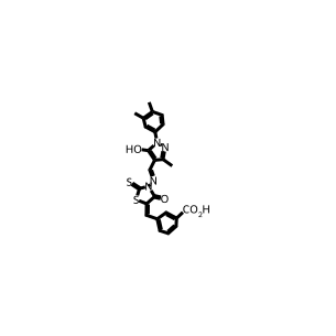 Cc1ccc(-n2nc(C)c(/C=N/N3C(=O)/C(=C\c4cccc(C(=O)O)c4)SC3=S)c2O)cc1C